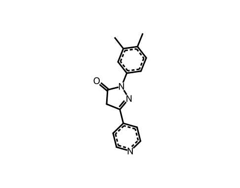 Cc1ccc(N2N=C(c3ccncc3)CC2=O)cc1C